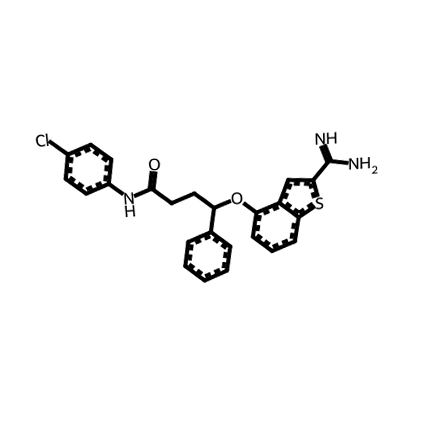 N=C(N)c1cc2c(OC(CCC(=O)Nc3ccc(Cl)cc3)c3ccccc3)cccc2s1